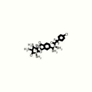 BC1C(=O)N(B)C(=O)[C@](B)(N2Cc3cc(C(B)N(B)C(=O)C(F)(F)c4ccc(Cl)cc4)ccc3C2=O)C1B